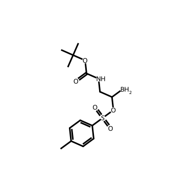 BC(CNC(=O)OC(C)(C)C)OS(=O)(=O)c1ccc(C)cc1